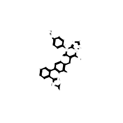 CCCc1c(Cc2ccc(-c3ccccc3C3=NOC(O)N3)cc2F)c(=O)n(-c2ccc(OC(C)C)cc2)c2ncnn12